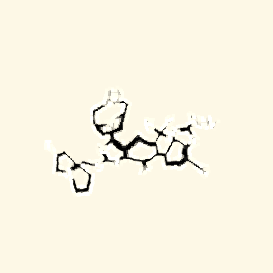 Nc1nc2c(-c3c(C(F)(F)F)cc4c(N5C6CCC5CNC6)nc(OC[C@@]56CCCN5C[C@H](F)C6)nc4c3F)ccc(F)c2s1